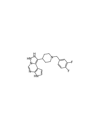 Fc1ccc(CN2CCC(C3=C4c5cc[nH]c5N=CN4NN3)CC2)cc1F